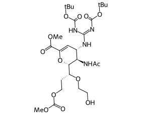 COC(=O)OCC[C@@H](OCCO)[C@@H]1OC(C(=O)OC)=C[C@H](N/C(=N/C(=O)OC(C)(C)C)NC(=O)OC(C)(C)C)[C@H]1NC(C)=O